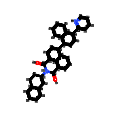 O=C1c2cccc3c(-c4ccc(-c5ccccn5)c5ccccc45)ccc(c23)C(=O)N1C1=Cc2ccccc2CC1